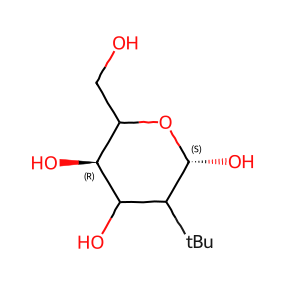 CC(C)(C)C1C(O)[C@@H](O)C(CO)O[C@@H]1O